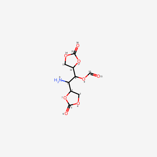 NC(C1COC(=O)O1)C(OC=O)C1COC(=O)O1